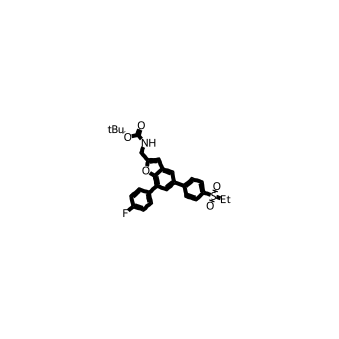 CCS(=O)(=O)c1ccc(-c2cc(-c3ccc(F)cc3)c3oc(CNC(=O)OC(C)(C)C)cc3c2)cc1